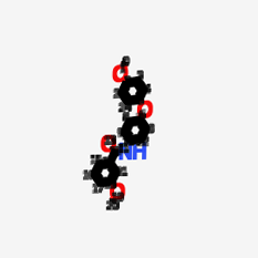 COc1ccc(Oc2ccc(NC(=O)c3cccc(OC)c3)cc2)cc1